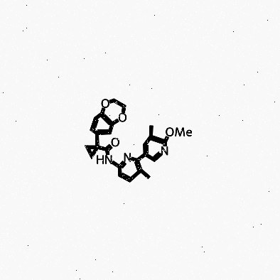 COc1ncc(-c2nc(NC(=O)C3(c4ccc5c(c4)OCCO5)CC3)ccc2C)cc1C